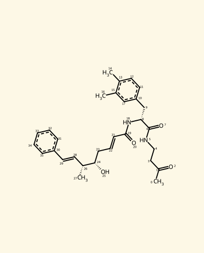 CC(=O)CCNC(=O)[C@@H](Cc1ccc(C)c(C)c1)NC(=O)/C=C/C[C@H](O)[C@H](C)/C=C/c1ccccc1